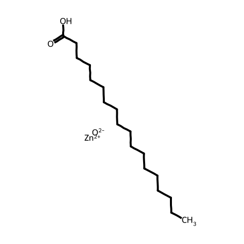 CCCCCCCCCCCCCCCCCC(=O)O.[O-2].[Zn+2]